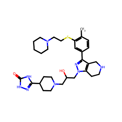 O=c1[nH]nc(C2CCN(CC(O)Cn3nc(-c4ccc(C(F)(F)F)c(SCCN5CCCCC5)c4)c4c3CCNC4)CC2)[nH]1